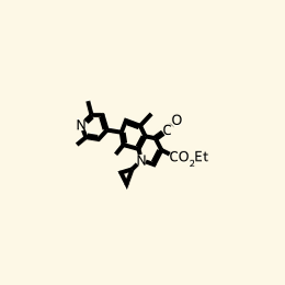 CCOC(=O)C1=CN(C2CC2)c2c(C)c(-c3cc(C)nc(C)c3)cc(C)c2C1=C=O